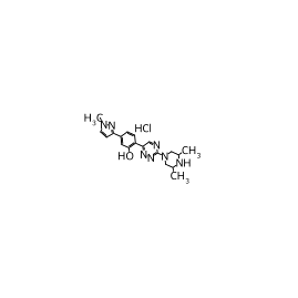 CC1CN(c2ncc(-c3ccc(-c4ccn(C)n4)cc3O)nn2)CC(C)N1.Cl